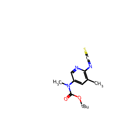 Cc1cc(N(C)C(=O)OC(C)(C)C)cnc1N=C=S